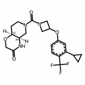 O=C1CO[C@H]2CCN(C(=O)N3CC(Oc4ccc(C(F)(F)F)c(C5CC5)c4)C3)C[C@H]2N1